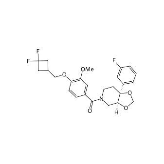 COc1cc(C(=O)N2CC[C@@]3(c4cccc(F)c4)OCO[C@H]3C2)ccc1OCC1CC(F)(F)C1